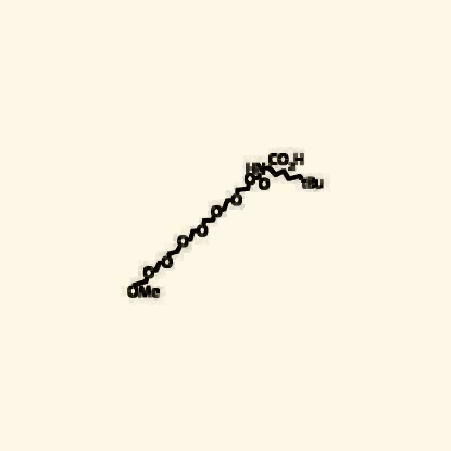 COCCOCCOCCOCCOCCOCCOCCOC(=O)N[C@@H](CCCCC(C)(C)C)C(=O)O